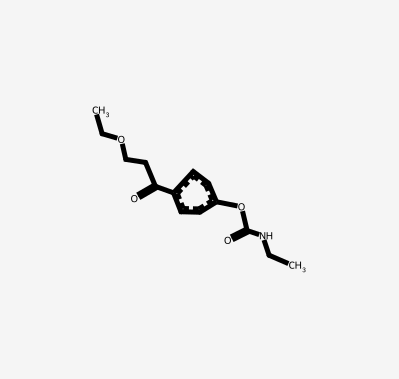 CCNC(=O)Oc1ccc(C(=O)CCOCC)cc1